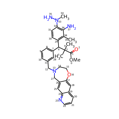 COC(=O)C(C)(C)C(c1cccc(CN2CCOc3cc4cccnc4cc3C2)c1)c1ccc(N(C)N)c(N)c1C